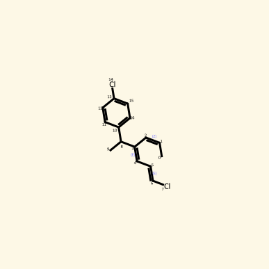 C\C=C/C(=C\C=C\Cl)C(C)c1ccc(Cl)cc1